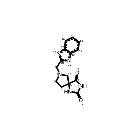 O=C1NC(=O)C2(CCN(Cc3nc4ccccc4s3)C2)N1